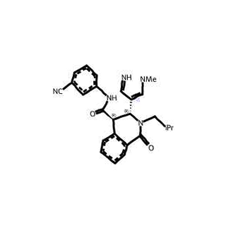 CN/C=C(\C=N)[C@H]1[C@H](C(=O)Nc2cccc(C#N)c2)c2ccccc2C(=O)N1CC(C)C